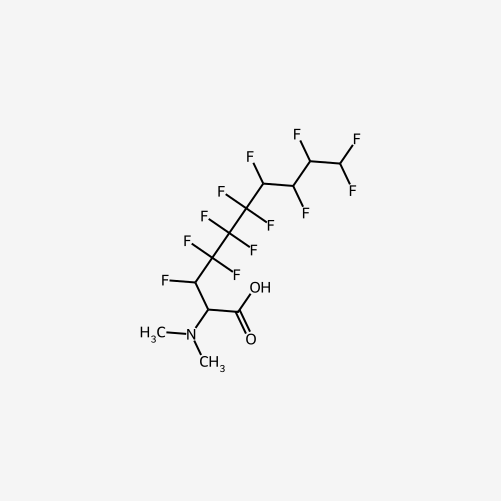 CN(C)C(C(=O)O)C(F)C(F)(F)C(F)(F)C(F)(F)C(F)C(F)C(F)C(F)F